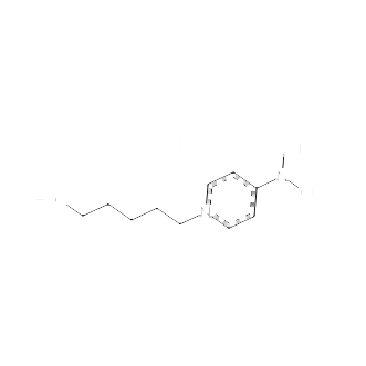 CCCCCC[n+]1ccc(N(C)C)cc1.[Cl-]